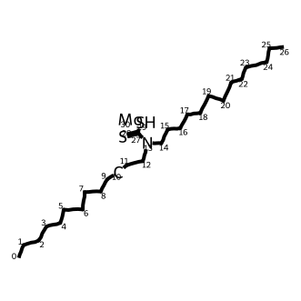 CCCCCCCCCCCCCN(CCCCCCCCCCCCC)C(=S)S.[Mo]